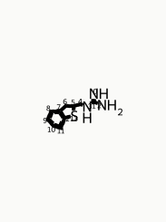 N=C(N)NCC1Cc2ccccc2S1